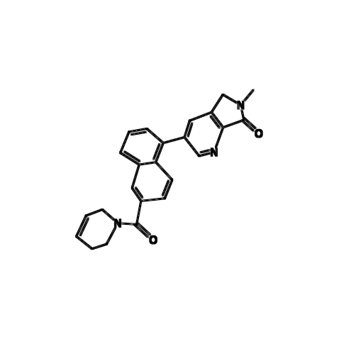 CN1Cc2cc(-c3cccc4cc(C(=O)N5CC=CCC5)ccc34)cnc2C1=O